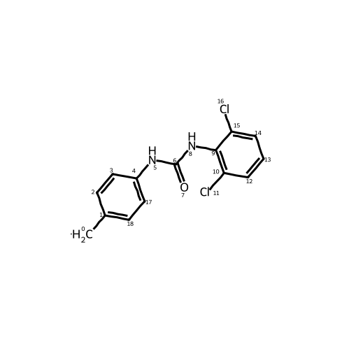 [CH2]c1ccc(NC(=O)Nc2c(Cl)cccc2Cl)cc1